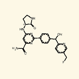 NC(=O)c1cc(N[C@H]2CCNC2=O)nc(-c2ccc(C(O)c3ccc(CF)cn3)cc2)n1